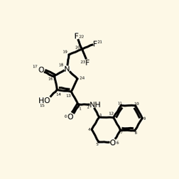 O=C(NC1CCOc2ccccc21)C1=C(O)C(=O)N(CC(F)(F)F)C1